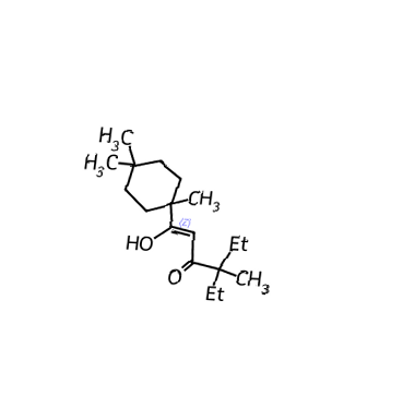 CCC(C)(CC)C(=O)/C=C(\O)C1(C)CCC(C)(C)CC1